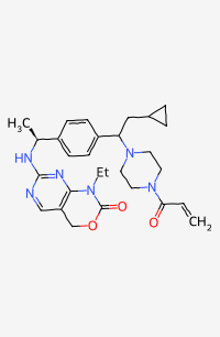 C=CC(=O)N1CCN(C(CC2CC2)c2ccc([C@H](C)Nc3ncc4c(n3)N(CC)C(=O)OC4)cc2)CC1